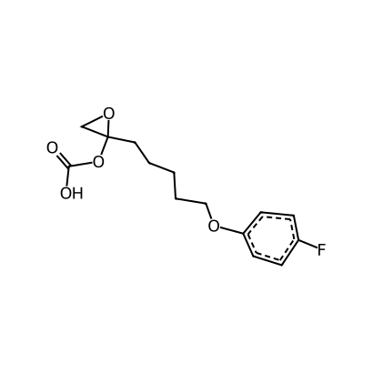 O=C(O)OC1(CCCCCOc2ccc(F)cc2)CO1